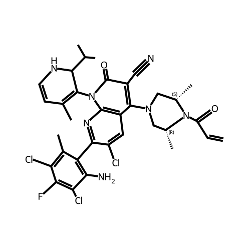 C=CC(=O)N1[C@H](C)CN(c2c(C#N)c(=O)n(C3=C(C)C=CNC3C(C)C)c3nc(-c4c(C)c(Cl)c(F)c(Cl)c4N)c(Cl)cc23)C[C@@H]1C